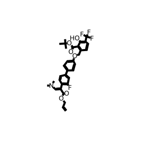 C=CCOC(=O)/C(=C/N(C)C)c1ccc(-c2ccc(OCc3ccc(C(F)(F)F)c(O)c3C(=O)OC(C)(C)C)cc2)cc1F